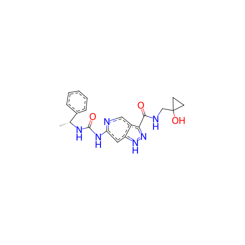 C[C@@H](NC(=O)Nc1cc2[nH]nc(C(=O)NCC3(O)CC3)c2cn1)c1ccccc1